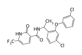 CC(NC(=O)c1ccc(C(F)(F)F)[nH]c1=O)c1ccc(Cl)cc1Oc1cccc(Cl)c1